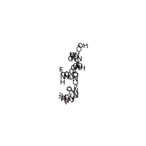 [2H]C([2H])([2H])Oc1nc(CN2CCN(C3CC4(CCN(c5ccc(C(=O)NS(=O)(=O)c6cnc(NCC7CCC(C)(O)CC7)c([N+](=O)[O-])c6)c(Oc6cc7c(F)c[nH]c7nc6OC)c5)CC4)C3)[C@H](c3ccccc3C(C)C)C2)ccc1C1CC1